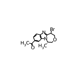 CC(=O)c1ccc2nc3n(c2c1)[C@@H](C)COCC3Br